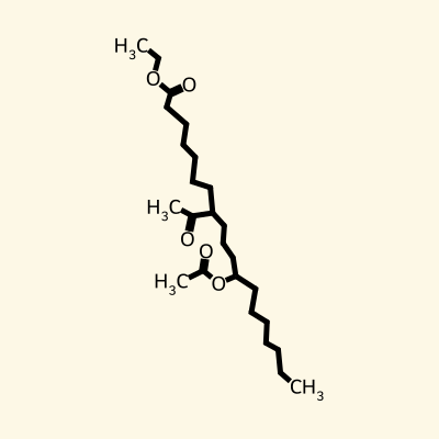 CCCCCCCC(CCCC(CCCCCCC(=O)OCC)C(C)=O)OC(C)=O